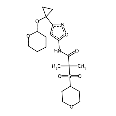 CC(C)(C(=O)Nc1cc(C2(OC3CCCCO3)CC2)no1)S(=O)(=O)C1CCOCC1